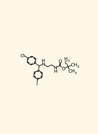 CC(C)(C)OC(=O)NCCNC(c1ccc(Cl)cc1)c1ccc(I)cc1